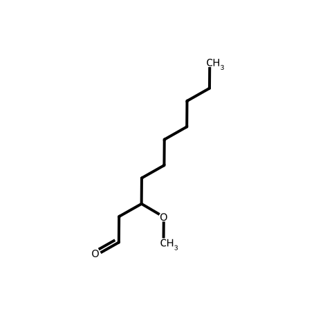 CCCCCCCC(CC=O)OC